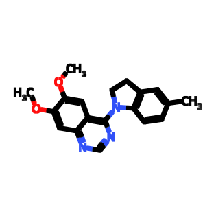 COc1cc2ncnc(N3CCc4cc(C)ccc43)c2cc1OC